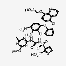 COc1nc(C)nc(NC(=O)NS(=O)(=O)c2ccsc2C(=O)O)n1.Nc1c([N+](=O)[O-])ccc(Oc2ccccc2)c1Cl.O=C(O)COc1ccc(Cl)c2cccnc12